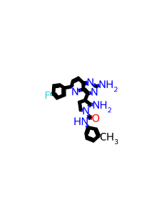 Cc1cccc(NC(=O)N2CCC(c3nc(N)nc4ccc(-c5ccc(F)cc5)nc34)C2N)c1